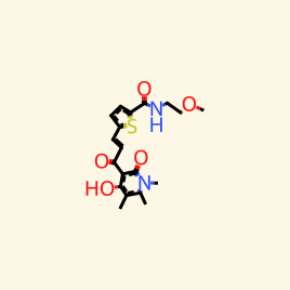 COCCNC(=O)c1ccc(/C=C/C(=O)c2c(O)c(C)c(C)n(C)c2=O)s1